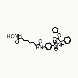 O=C(CCCCCCC(=O)Nc1ccc(S(=O)(=O)NC(C(=O)OC2CCCC2)c2ccccc2)cc1)NO